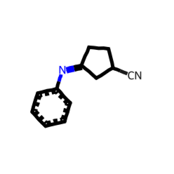 N#CC1CCC(=Nc2ccccc2)C1